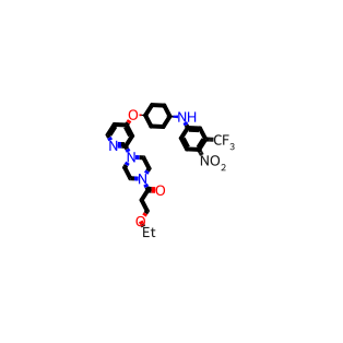 CCOCCC(=O)N1CCN(c2cc(O[C@H]3CC[C@H](Nc4ccc([N+](=O)[O-])c(C(F)(F)F)c4)CC3)ccn2)CC1